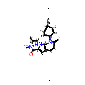 C=C1C=Cc2cc(C(=O)N(C)C(C)C)[nH]c2N1c1ccc(F)cc1